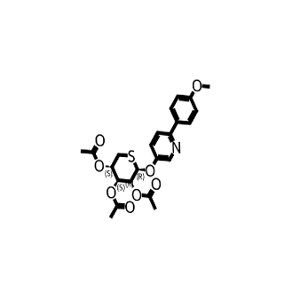 COc1ccc(-c2ccc(O[C@@H]3SC[C@@H](OC(C)=O)[C@H](OC(C)=O)[C@H]3OC(C)=O)cn2)cc1